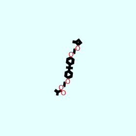 C=C(C)C(=O)OCCOc1ccc(C(C)(C)c2ccc(OCCOC3=CCC3=C)cc2)cc1